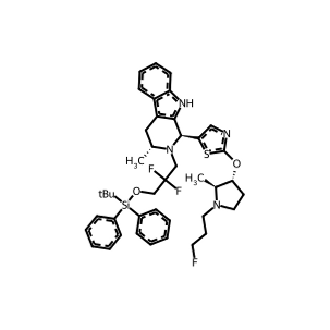 C[C@@H]1Cc2c([nH]c3ccccc23)[C@@H](c2cnc(O[C@@H]3CCN(CCCF)[C@H]3C)s2)N1CC(F)(F)CO[Si](c1ccccc1)(c1ccccc1)C(C)(C)C